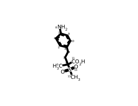 CC(CCc1ccc(N)cc1)(C(=O)O)S(C)(=O)=O